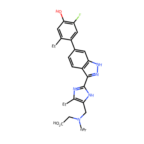 CCCN(CC(=O)O)Cc1[nH]c(-c2n[nH]c3cc(-c4cc(F)c(O)cc4CC)ccc23)nc1CC